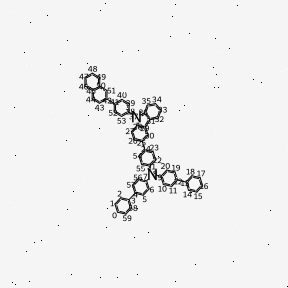 c1ccc(-c2ccc(N(c3ccc(-c4ccccc4)cc3)c3ccc(-c4ccc5c(c4)c4ccccc4n5-c4ccc(-c5ccc6ccccc6c5)cc4)cc3)cc2)cc1